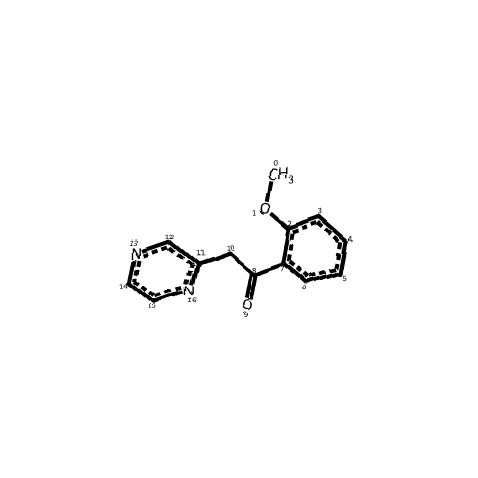 COc1ccccc1C(=O)Cc1cnccn1